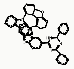 C1=CC2OC3=CCCC(c4cccc5oc6ccc(C7=NC(c8ccccc8)=NC(c8ccccc8)N7)cc6c45)=C3C2C(n2c3ccccc3c3ccccc32)=C1